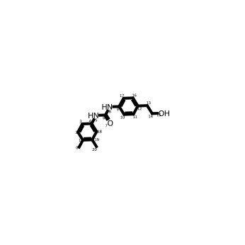 Cc1ccc(NC(=O)Nc2ccc(CCO)cc2)cc1C